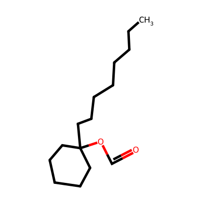 CCCCCCCCC1(OC=O)CCCCC1